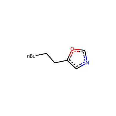 CCCCCCc1cnco1